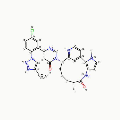 C[C@@H]1CCC[C@H](n2cnc(-c3cc(Cl)ccc3-n3cc(C(=O)O)nn3)cc2=O)c2cc(ccn2)-c2c(ccn2C)NC1=O